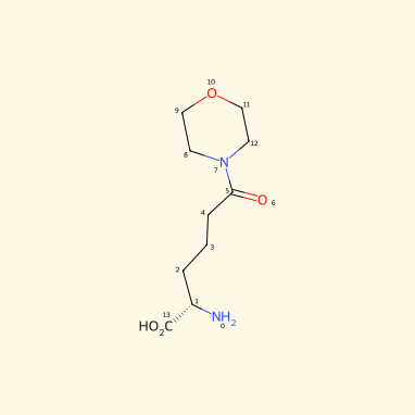 N[C@@H](CCCC(=O)N1CCOCC1)C(=O)O